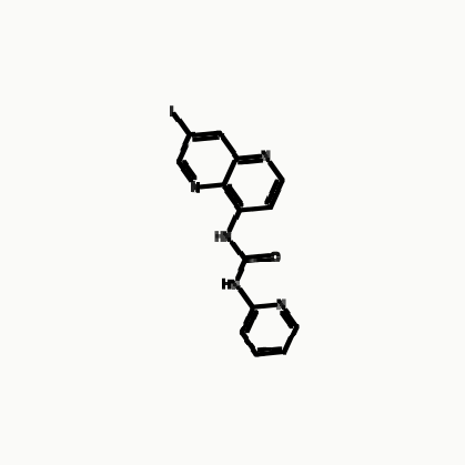 O=C(Nc1ccccn1)Nc1ccnc2cc(I)cnc12